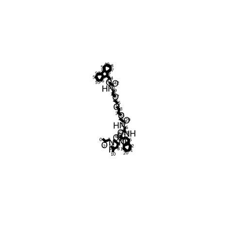 CC(=O)CNC(=O)C(CC(C)C)NC(=O)C(Cc1ccccc1)NC(=O)CNC(=O)COCCOCCOCCNC(=O)OCC1c2ccccc2-c2ccccc21